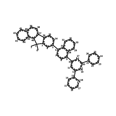 CC1(C)c2cc(-c3ccc(-c4cc(-c5ccccn5)nc(-c5ccccc5)n4)c4ccccc34)ccc2-c2ccc3ccccc3c21